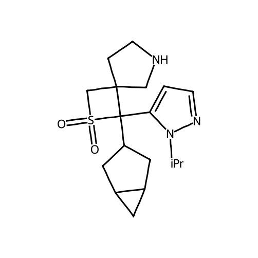 CC(C)n1nccc1C1(C2CC3CC3C2)C2(CCNC2)CS1(=O)=O